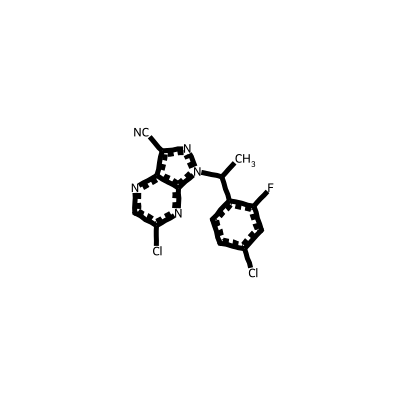 CC(c1ccc(Cl)cc1F)n1nc(C#N)c2ncc(Cl)nc21